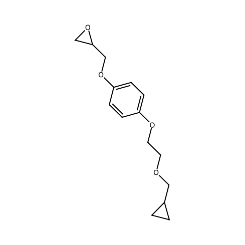 c1cc(OCC2CO2)ccc1OCCOCC1CC1